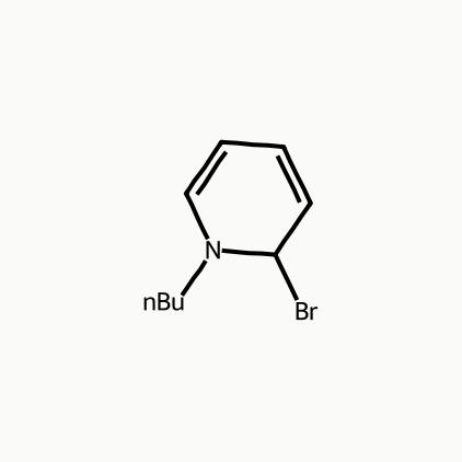 CCCCN1C=CC=CC1Br